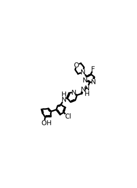 Oc1cccc(-c2cc(Cl)cc(Nc3ccc(/C=N/Nc4ncc(F)c(N5CCOCC5)n4)nc3)c2)c1